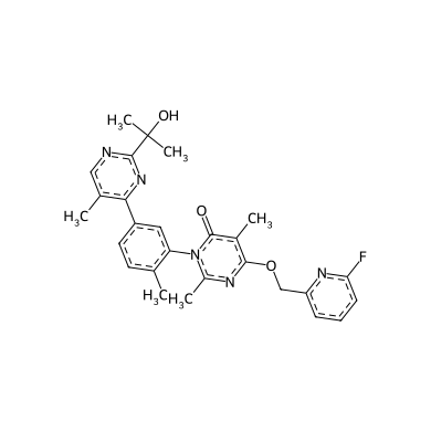 Cc1ccc(-c2nc(C(C)(C)O)ncc2C)cc1-n1c(C)nc(OCc2cccc(F)n2)c(C)c1=O